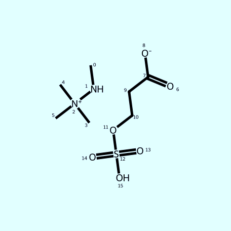 CN[N+](C)(C)C.O=C([O-])CCOS(=O)(=O)O